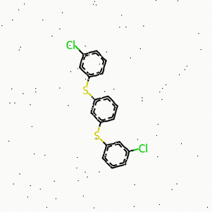 Clc1cccc(Sc2cccc(Sc3cccc(Cl)c3)c2)c1